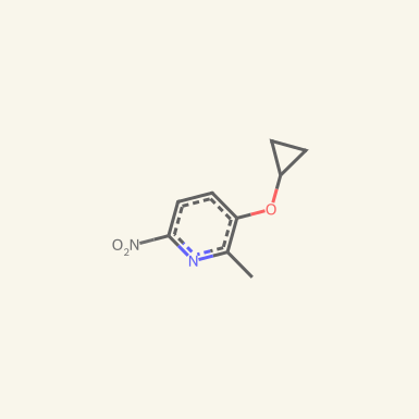 Cc1nc([N+](=O)[O-])ccc1OC1CC1